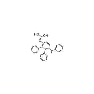 CC(c1ccccc1)c1ccc(OP(O)O)c(-c2ccccc2)c1-c1ccccc1